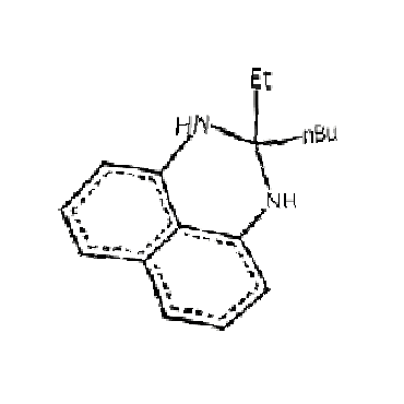 CCCCC1(CC)Nc2cccc3cccc(c23)N1